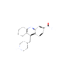 NC(=O)c1ccc2c(CC3CCNCC3)c3c(nc2c1)CCCC3